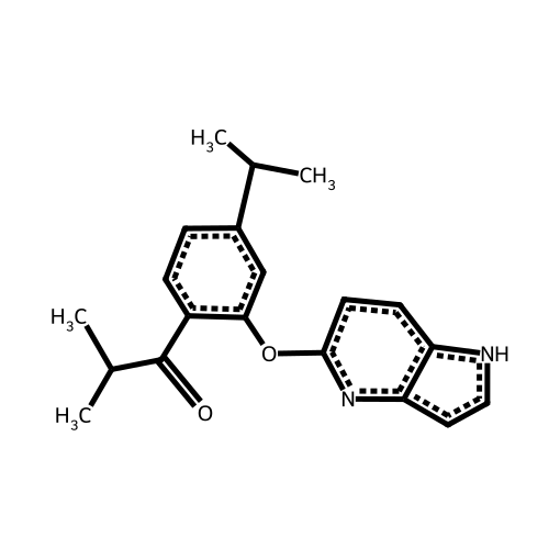 CC(C)C(=O)c1ccc(C(C)C)cc1Oc1ccc2[nH]ccc2n1